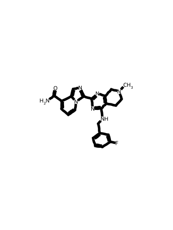 CN1CCc2c(nc(-c3ncc4c(C(N)=O)cccn34)nc2NCc2cccc(F)c2)C1